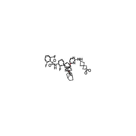 O=S1(=O)CC2(CC(Nc3nccc(-c4sc(N5C6CCC5CN(c5ccccc5)C6)nc4-c4cccc(NS(=O)(=O)c5c(F)cccc5F)c4F)n3)C2)C1